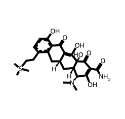 CN(C)[C@@H]1C(O)=C(C(N)=O)C(=O)[C@@]2(O)C(O)=C3C(=O)c4c(O)ccc(CCS(C)(C)C)c4C[C@H]3C[C@@H]12